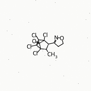 CC1C(C2=NOCC2)C2(Cl)C(=O)C1(Cl)C(Cl)=C2Cl